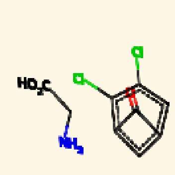 NCC(=O)O.O=C1c2cc(Cl)c(Cl)c1c2